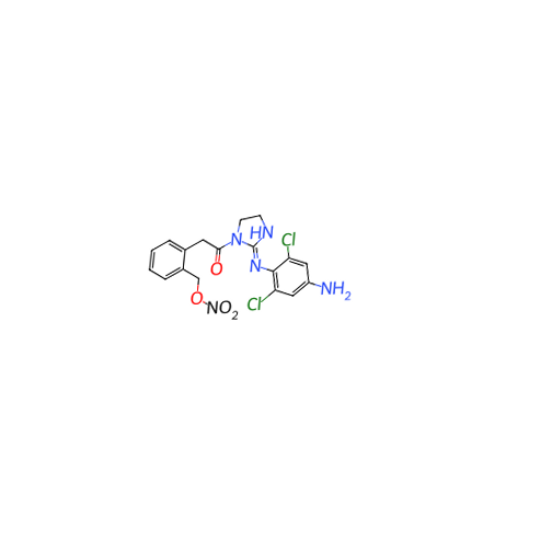 Nc1cc(Cl)c(/N=C2\NCCN2C(=O)Cc2ccccc2CO[N+](=O)[O-])c(Cl)c1